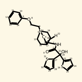 O=C(N[C@H]1C[N+]2(CCOc3ccccc3)CCC1CC2)C(O)(c1cccs1)c1cccs1